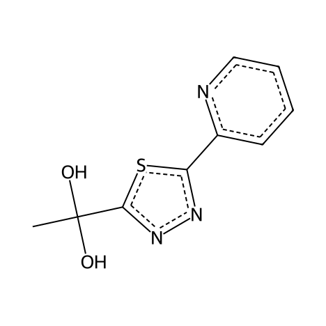 CC(O)(O)c1nnc(-c2ccccn2)s1